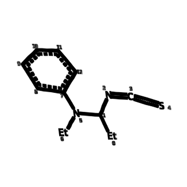 CCC(N=C=S)N(CC)c1ccccc1